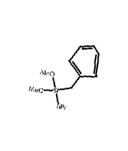 CCC[Si](Cc1ccccc1)(OC)OC